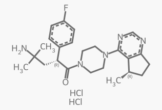 C[C@@H]1CCc2ncnc(N3CCN(C(=O)[C@H](CC(C)(C)N)c4ccc(F)cc4)CC3)c21.Cl.Cl